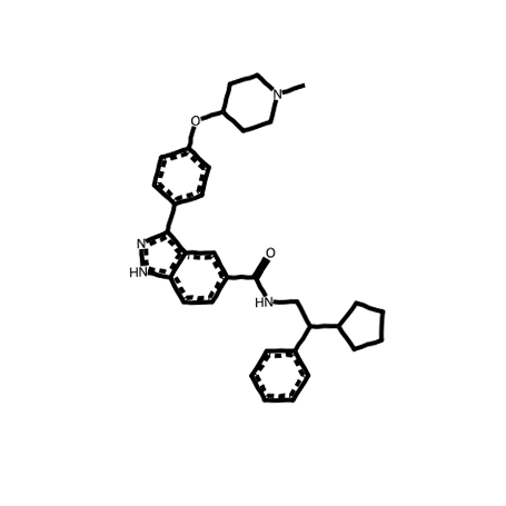 CN1CCC(Oc2ccc(-c3n[nH]c4ccc(C(=O)NCC(c5ccccc5)C5CCCC5)cc34)cc2)CC1